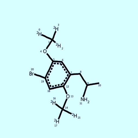 [2H]C([2H])([2H])Oc1cc(CC(C)N)c(OC([2H])([2H])[2H])cc1Br